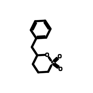 O=S1(=O)CCCC(Cc2ccccc2)O1